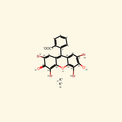 O=C([O-])c1ccccc1-c1c2cc(Br)c(=O)c(Br)c-2oc2c(Br)c([O-])c(Br)cc12.[K+].[K+]